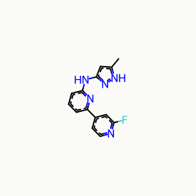 Cc1cc(Nc2cccc(-c3ccnc(F)c3)n2)n[nH]1